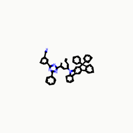 C=C/C=C(\C=C(/C)c1nc(-c2ccccc2)nc(-c2cccc(C#N)c2)n1)n1c2ccccc2c2cc3c(cc21)C(c1ccccc1)(c1ccccc1)c1ccccc1-3